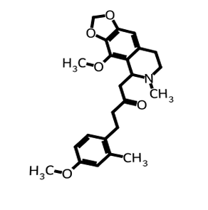 COc1ccc(CCC(=O)CC2c3c(cc4c(c3OC)OCO4)CCN2C)c(C)c1